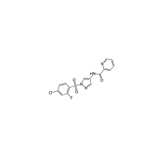 O=C(Nc1cnn(S(=O)(=O)c2ccc(Cl)cc2F)c1)c1ccccn1